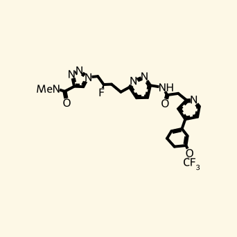 CNC(=O)c1cn(C[C@H](F)CCc2ccc(NC(=O)Cc3cc(C4=CCCC(OC(F)(F)F)=C4)ccn3)nn2)nn1